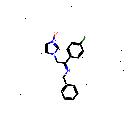 [O-][n+]1ccn(CC(=NCc2ccccc2)c2ccc(F)cc2)c1